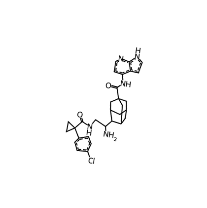 NC(CNC(=O)C1(c2ccc(Cl)cc2)CC1)C1C2CC3CC1CC(C(=O)Nc1ccnc4[nH]ccc14)(C3)C2